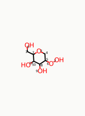 OCC1OCC(OO)C(O)C1O